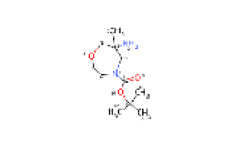 CC1(N)COCCN(C(=O)OC(C)(C)C)C1